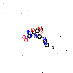 CN1CCN(Cc2ccc(NC(=C3C(=O)Nc4cc([N+](=O)[O-])ccc43)c3ccc4c(c3)OCCO4)cc2)CC1